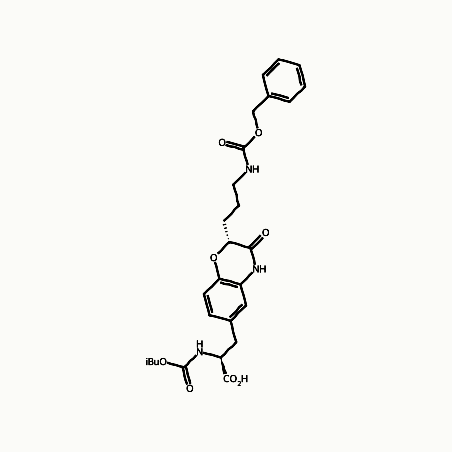 CC(C)COC(=O)N[C@@H](Cc1ccc2c(c1)NC(=O)[C@@H](CCCNC(=O)OCc1ccccc1)O2)C(=O)O